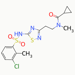 Cc1c(Cl)cccc1S(=O)(=O)Nc1nc(CCN(C)C(=O)C2CC2)ns1